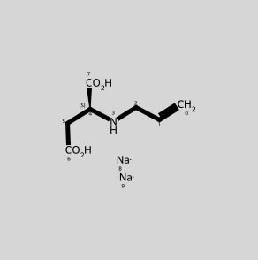 C=CCN[C@@H](CC(=O)O)C(=O)O.[Na].[Na]